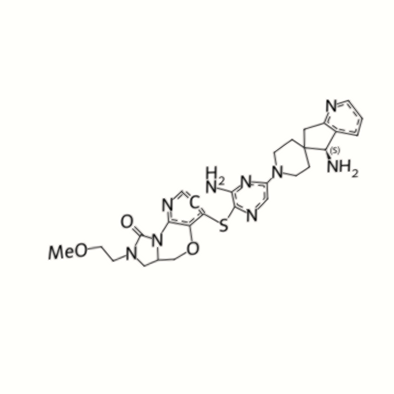 COCCN1CC2COc3c(Sc4ncc(N5CCC6(CC5)Cc5ncccc5[C@H]6N)nc4N)ccnc3N2C1=O